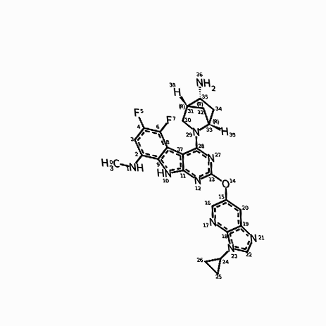 CNc1cc(F)c(F)c2c1[nH]c1nc(Oc3cnc4c(c3)ncn4C3CC3)nc(N3C[C@H]4C[C@@H]3C[C@H]4N)c12